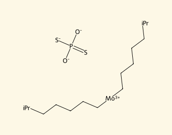 CC(C)CCCC[CH2][Mo+3][CH2]CCCCC(C)C.[O-]P([O-])(=S)[S-]